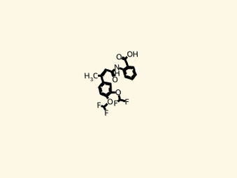 C/C(=C/C(=O)Nc1ccccc1C(=O)O)c1ccc(OC(F)F)c(OC(F)F)c1